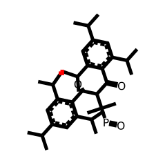 CC(C)c1cc(C(C)C)c(C(=O)C(C(=O)c2c(C(C)C)cc(C(C)C)cc2C(C)C)C(C)(C)P=O)c(C(C)C)c1